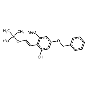 COc1cc(OCc2ccccc2)cc(O)c1C=CO[Si](C)(C)C(C)(C)C